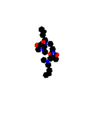 CC1(C)c2ccccc2-c2cc(-c3ccc(N(c4ccccc4)c4ccc5c(c4)-c4ccccc4C54c5ccccc5-n5c6ccc(-c7cccc(N(c8ccc(-c9ccc%10c(c9)C(C)(C)c9ccccc9-%10)cc8)c8cc9c%10c(c8)c8ccccc8n%10-c8ccccc8C98c9ccccc9-c9ccccc98)c7)cc6c6cccc4c65)cc3)ccc21